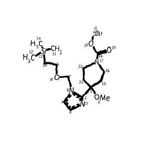 COC1(c2nccn2COCC[Si](C)(C)C)CCN(C(=O)OC(C)(C)C)CC1